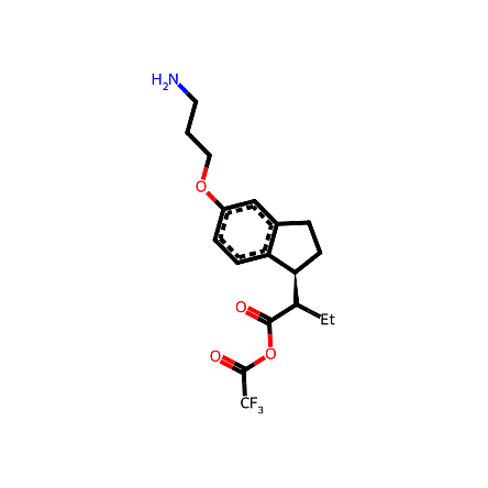 CCC(C(=O)OC(=O)C(F)(F)F)[C@@H]1CCc2cc(OCCCN)ccc21